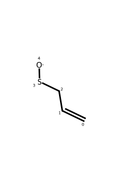 C=CCS[O]